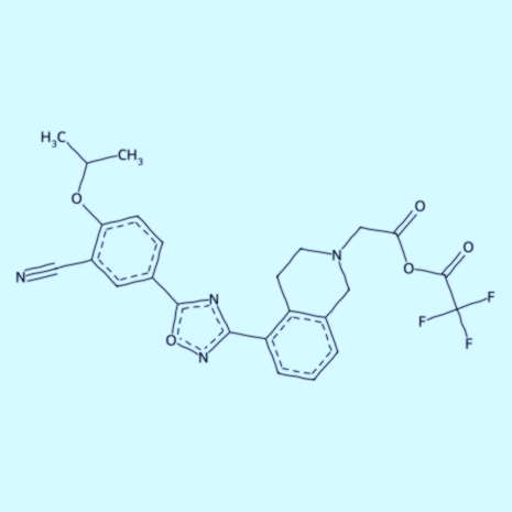 CC(C)Oc1ccc(-c2nc(-c3cccc4c3CCN(CC(=O)OC(=O)C(F)(F)F)C4)no2)cc1C#N